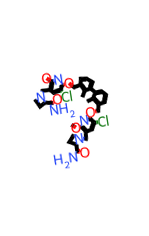 COc1nc(OCc2cccc(-c3cccc(COc4nc(OC)c(CN5CCC5C(N)=O)cc4Cl)c3C)c2C)c(Cl)cc1CN1CCC1C(N)=O